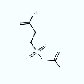 CC(=O)OS(=O)(=O)CCC(N)=O